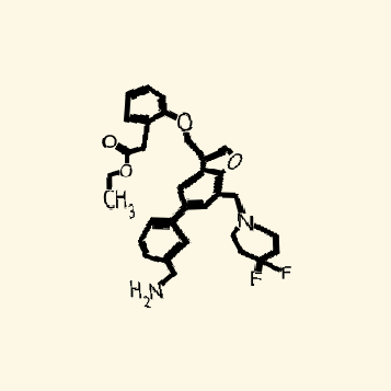 CCOC(=O)Cc1ccccc1OCc1coc2c(CN3CCC(F)(F)CC3)cc(-c3cccc(CN)c3)cc12